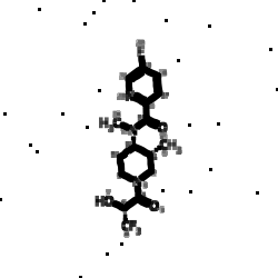 C[C@@H]1CN(C(=O)[C@@H](O)C(F)(F)F)CC[C@@H]1N(C)C(=O)c1ccc(F)cn1